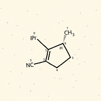 CC(C)C1=C(C#N)CC[C@H]1C